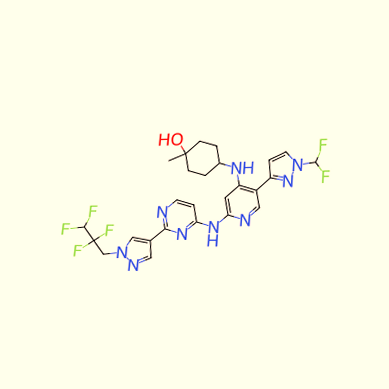 CC1(O)CCC(Nc2cc(Nc3ccnc(-c4cnn(CC(F)(F)C(F)F)c4)n3)ncc2-c2ccn(C(F)F)n2)CC1